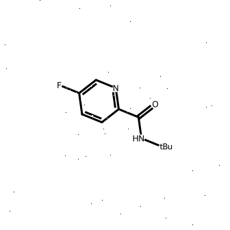 CC(C)(C)NC(=O)c1ccc(F)cn1